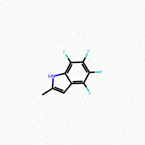 Cc1cc2c(F)c(F)c(F)c(F)c2[nH]1